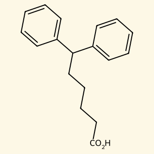 O=C(O)CCCCC(c1ccccc1)c1ccccc1